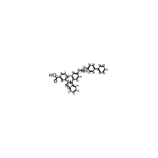 O=C(O)c1ccnc(-c2nc3ccccc3n2-c2ccc(CNCc3ccc(-c4ccccc4)cc3)cc2)c1